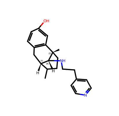 CC1CC[C@@]2(C)c3cc(O)ccc3C[C@@H]1[C@H]2NCCc1ccncc1